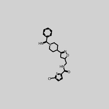 N=C(c1ccccc1)N1CCC(C2=NOC(CNC(=O)c3ccc(Cl)s3)C2)CC1